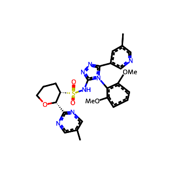 COc1cccc(OC)c1-n1c(NS(=O)(=O)[C@H]2CCCO[C@H]2c2ncc(C)cn2)nnc1-c1cncc(C)c1